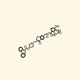 O=C1COc2c([C@@H](O)CNCc3ccc4c(c3)CCN(CCN3CCC(OC(=O)Nc5ccccc5-c5ccccc5)CC3)C4=O)ccc(O)c2N1